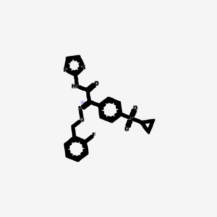 O=C(Nc1nccs1)/C(=N/OCc1ccccc1F)c1ccc(S(=O)(=O)C2CC2)cc1